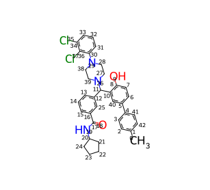 Cc1ccc(-c2ccc(O)c(C(c3cccc(C(=O)NC4CCCC4)c3)N3CCN(c4cccc(Cl)c4Cl)CC3)c2)cc1